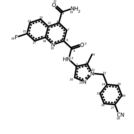 Cc1c(NC(=O)c2cc(C(N)=O)c3ccc(F)cc3n2)cnn1Cc1ccc(C#N)cc1